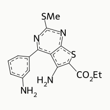 CCOC(=O)c1sc2nc(SC)nc(-c3cccc(N)c3)c2c1N